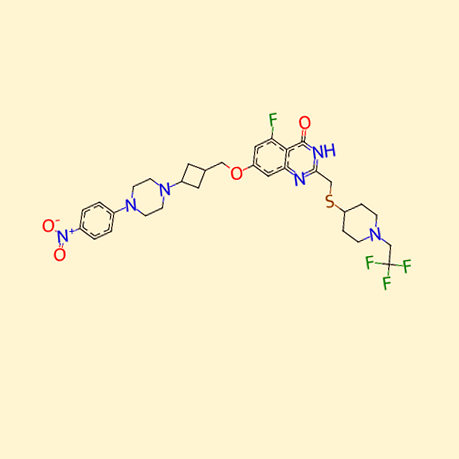 O=c1[nH]c(CSC2CCN(CC(F)(F)F)CC2)nc2cc(OCC3CC(N4CCN(c5ccc([N+](=O)[O-])cc5)CC4)C3)cc(F)c12